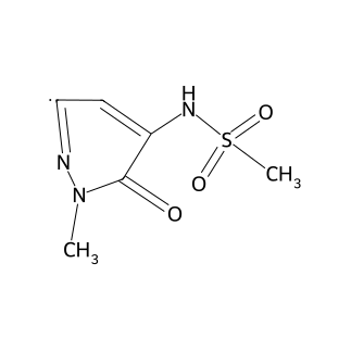 Cn1n[c]cc(NS(C)(=O)=O)c1=O